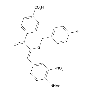 CC(=O)Nc1ccc(C=C(SCc2ccc(F)cc2)C(=O)c2ccc(C(=O)O)cc2)cc1[N+](=O)[O-]